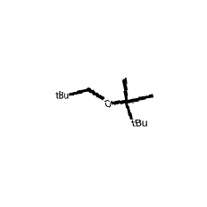 CC(C)(C)COC(C)(C)C(C)(C)C